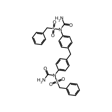 NC(=O)N(c1ccc(Cc2ccc(N(C(N)=O)S(=O)(=O)Cc3ccccc3)cc2)cc1)S(=O)(=O)Cc1ccccc1